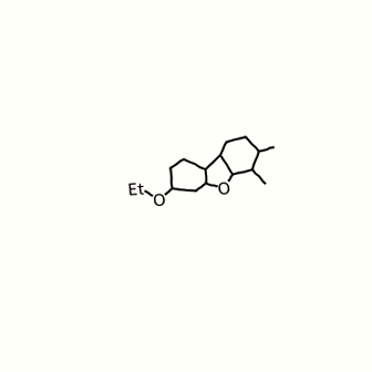 CCOC1CCC2C(C1)OC1C(C)C(C)CCC21